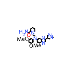 COc1cc(OC)cc(N(CCN2CCCCC2C(N)=O)c2ccc3ncc(C4C=NN(C)C4)nc3c2)c1